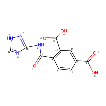 O=C(O)c1ccc(C(=O)Nc2nc[nH]n2)c(C(=O)O)c1